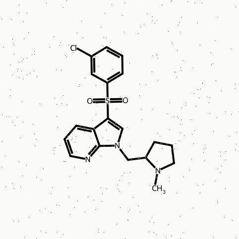 CN1CCCC1Cn1cc(S(=O)(=O)c2cccc(Cl)c2)c2cccnc21